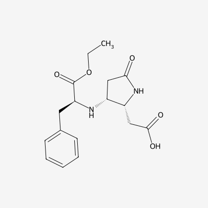 CCOC(=O)[C@H](Cc1ccccc1)N[C@@H]1CC(=O)N[C@@H]1CC(=O)O